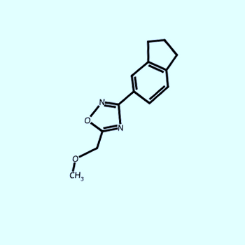 COCc1nc(-c2ccc3c(c2)CCC3)no1